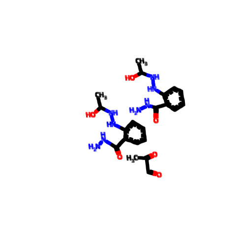 CC(=O)C=O.CC(O)NNc1ccccc1C(=O)NN.CC(O)NNc1ccccc1C(=O)NN